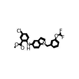 COC(=O)c1cc(Cl)ccc1Nc1ccc2c(ccn2Cc2cccc(OC(F)F)c2)c1